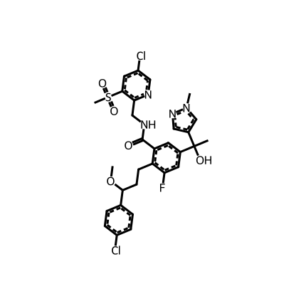 COC(CCc1c(F)cc(C(C)(O)c2cnn(C)c2)cc1C(=O)NCc1ncc(Cl)cc1S(C)(=O)=O)c1ccc(Cl)cc1